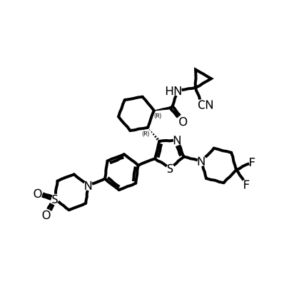 N#CC1(NC(=O)[C@@H]2CCCC[C@H]2c2nc(N3CCC(F)(F)CC3)sc2-c2ccc(N3CCS(=O)(=O)CC3)cc2)CC1